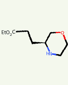 CCOC(=O)CC[C@H]1COCCN1